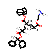 CCC(C)(BCC(C)(BCC(C)(C)C(=O)OC(C)(c1ccccc1)c1ccccc1)C(=O)OC12CC3CC(CC(C3)C1)C2)C(=O)OCCN(C)C